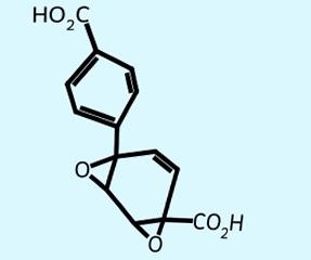 O=C(O)c1ccc(C23C=CC4(C(=O)O)OC4C2O3)cc1